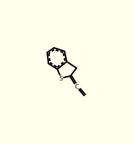 C=C=C1Cc2ccccc2S1